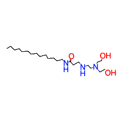 CCCCCCCCCCCCCCNC(=O)CCNCCN(CCO)CCO